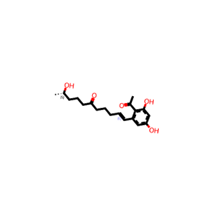 CC(=O)c1c(O)cc(O)cc1/C=C/CCCC(=O)CCC[C@H](C)O